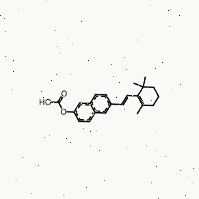 CC1=C(/C=C/c2ccc3cc(OC(=O)O)ccc3c2)C(C)(C)CCC1